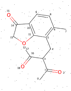 CC(=O)C(Cc1c(C)ccc2c1OCC2=O)C(C)=O